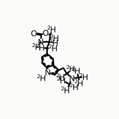 [2H]N1C(=O)OC([2H])([2H])[C@]1([2H])C([2H])([2H])c1ccc2c(c1)c(CC([2H])([2H])N(C([2H])([2H])[2H])C([2H])([2H])[2H])cn2[2H]